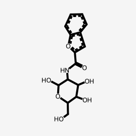 O=C(NC1C(O)OC(CO)C(O)C1O)c1cc2ccccc2o1